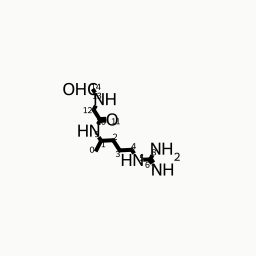 CC(CCCNC(=N)N)NC(=O)CNC=O